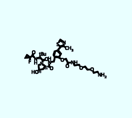 Cc1ncsc1-c1ccc(CNC(=O)[C@@H]2C[C@@H](O)CN2C(=O)[C@@H](NC(=O)C2(F)CC2)C(C)(C)C)c(OCC(=O)NCCOCCOCCN)c1